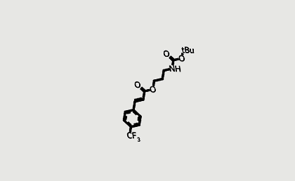 CC(C)(C)OC(=O)NCCCOC(=O)/C=C/c1ccc(C(F)(F)F)cc1